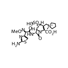 CO/N=C(/C(=O)N[C@@H]1C(=O)N2C(C(=O)O)=C(C[N+]3(C)CCCC3)CS[C@H]12)c1csc(N)n1.O=S(=O)(O)O